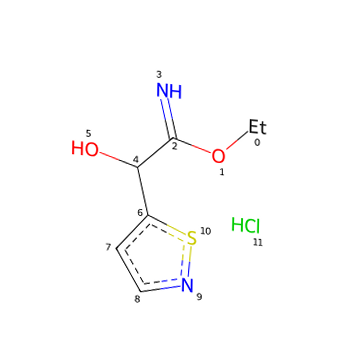 CCOC(=N)C(O)c1ccns1.Cl